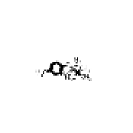 CC1=CCC(O[Si](C)(C)C(C)(C)C)=CC1